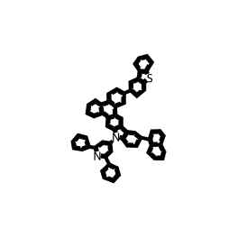 c1ccc(-c2cc(-n3c4ccc(-c5cccc6ccccc56)cc4c4cc5c6cc(-c7ccc8sc9ccccc9c8c7)ccc6c6ccccc6c5cc43)cc(-c3ccccc3)n2)cc1